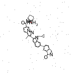 Cc1c(-c2cc3ccc(-c4ccc5c(c4)C(=O)N=C5)cc3n2CC2CC2)nn2cc(C(=O)N3CC4CCC3[C@@H]4N)ccc12